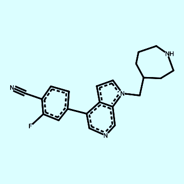 N#Cc1ccc(-c2cncc3c2ccn3CC2CCCNCC2)cc1F